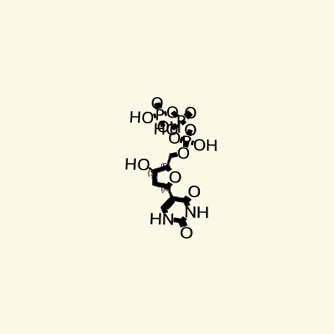 O=c1[nH]cc([C@H]2C[C@H](O)[C@@H](COP(=O)(O)OP(=O)(O)OP(=O)(O)O)O2)c(=O)[nH]1